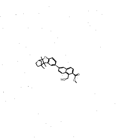 COC(=O)c1ccc2cc(-c3ccc4c(c3)C3(C)C5(C)CCC(C5)C3(C)O4)ccc2c1CO